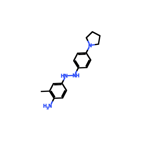 Cc1cc(NNc2ccc(N3CCCC3)cc2)ccc1N